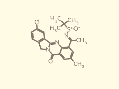 CC(=N[S+]([O-])C(C)(C)C)c1cc(C)cc2c(=O)n3c(nc12)-c1cc(Cl)ccc1C3